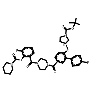 CC(C)(C)OC(=O)N1CC[C@H](Oc2ccc(C(=O)N3CCN(C(=O)c4cccc(F)c4OC(=O)N4CCCCC4)CC3)cc2-c2ccc(F)cc2)C1